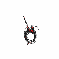 CCCCCCCCCCCCCCCCC(=O)OC(C)(C)OP1(=O)OC[C@H]2O[C@@H](n3ccc(N)nc3=O)C(F)(F)[C@@H]2OC(=O)CCCCCCCCCCCCCCCC(CCCCC)CCCCCCCCCCC(=O)OC(C)(C)O1